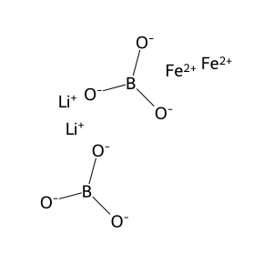 [Fe+2].[Fe+2].[Li+].[Li+].[O-]B([O-])[O-].[O-]B([O-])[O-]